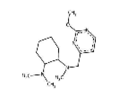 COc1nccc(CN(C)C2CCCCC2N(C)C)n1